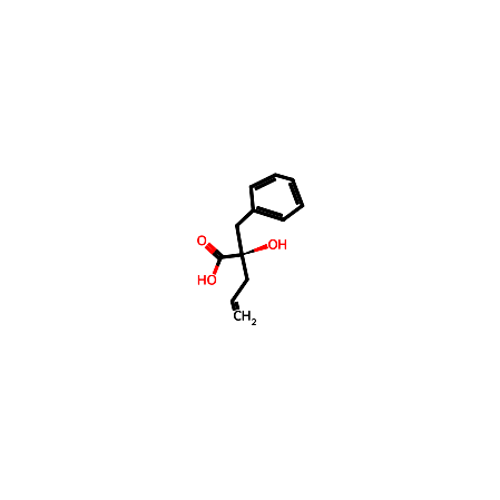 C=CC[C@@](O)(Cc1ccccc1)C(=O)O